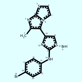 Br.Cc1nc2sccn2c1-c1csc(Nc2ccc(Br)cc2)n1